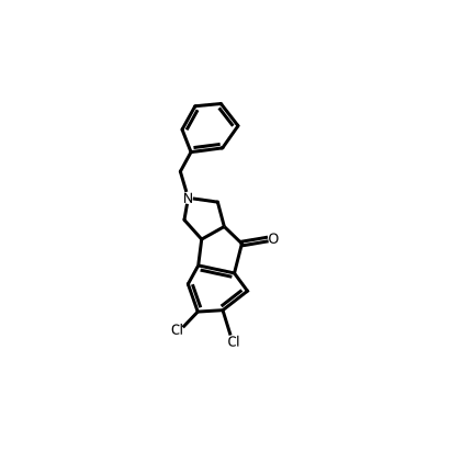 O=C1c2cc(Cl)c(Cl)cc2C2CN(Cc3ccccc3)CC12